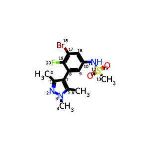 Cc1nn(C)c(C)c1-c1cc(NS(C)(=O)=O)cc(Br)c1F